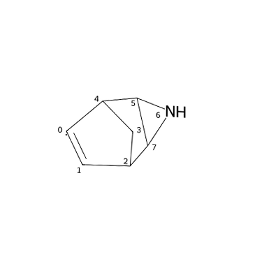 [C]1=CC2CC1C1NC21